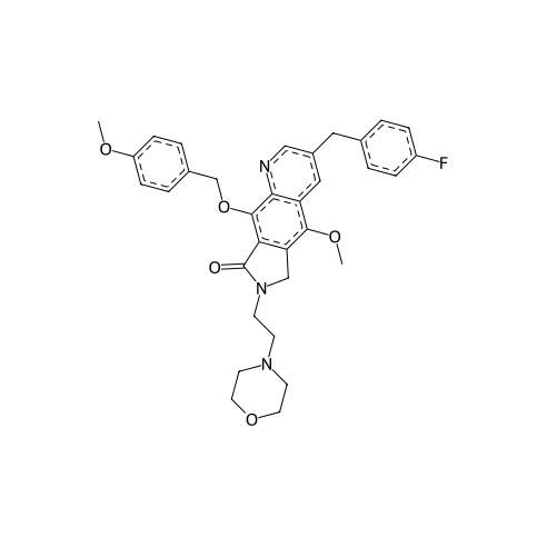 COc1ccc(COc2c3c(c(OC)c4cc(Cc5ccc(F)cc5)cnc24)CN(CCN2CCOCC2)C3=O)cc1